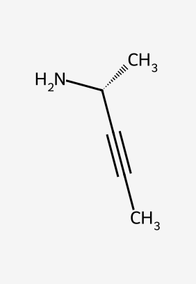 CC#C[C@@H](C)N